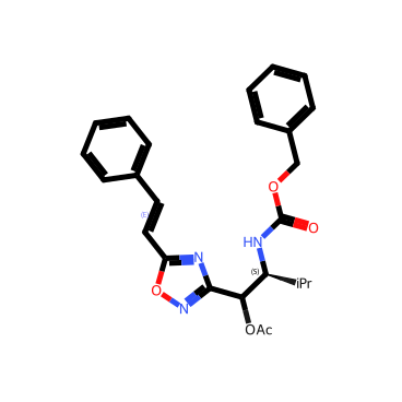 CC(=O)OC(c1noc(/C=C/c2ccccc2)n1)[C@@H](NC(=O)OCc1ccccc1)C(C)C